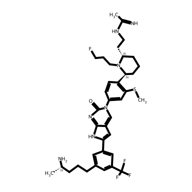 CSc1cc(-n2cc3cc(-c4cc(CCC[C@H](C)N)cc(C(F)(F)F)c4)[nH]c3nc2=O)ccc1[C@@H]1CCC[C@@H](CCNC(C)=N)N1CCCF